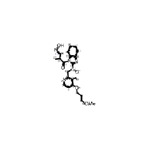 COCCCOc1ccnc(C[S+]([O-])c2nc3ccccc3n2C(=O)C(C)/C=N/O)c1C